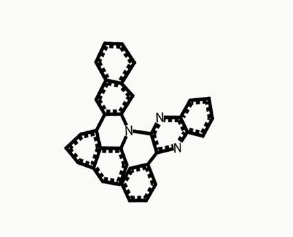 c1ccc(-c2nc3ccccc3nc2N2c3cc4ccccc4cc3-c3cccc4cccc2c34)cc1